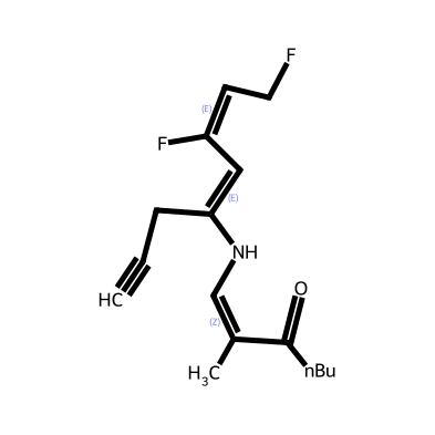 C#CC/C(=C\C(F)=C/CF)N/C=C(/C)C(=O)CCCC